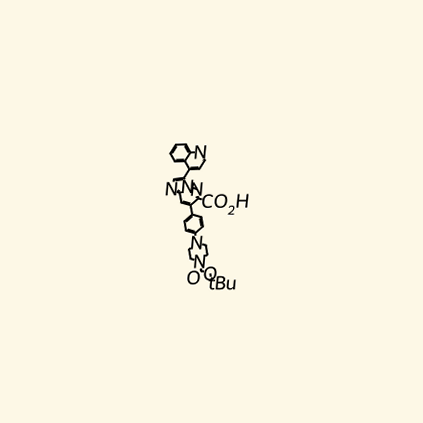 CC(C)(C)OC(=O)N1CCN(c2ccc(-c3cc4ncc(-c5ccnc6ccccc56)n4nc3C(=O)O)cc2)CC1